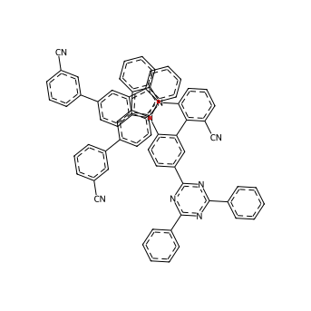 N#Cc1cccc(-c2ccc3c(c2)c2ccccc2n3-c2ccc(-c3nc(-c4ccccc4)nc(-c4ccccc4)n3)cc2-c2c(C#N)cccc2-n2c3ccccc3c3cc(-c4cccc(C#N)c4)ccc32)c1